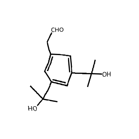 CC(C)(O)c1cc(CC=O)cc(C(C)(C)O)c1